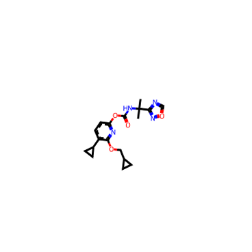 CC(C)(NC(=O)Oc1ccc(C2CC2)c(OCC2CC2)n1)c1ncon1